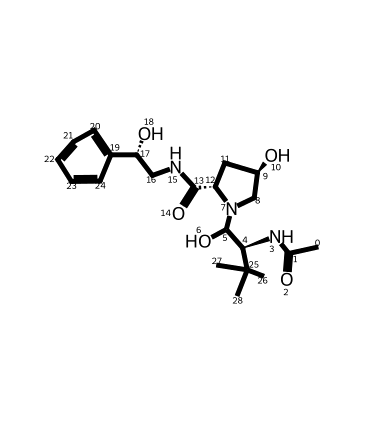 CC(=O)N[C@H](C(O)N1C[C@H](O)C[C@H]1C(=O)NC[C@@H](O)c1ccccc1)C(C)(C)C